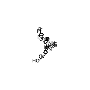 CC(=O)O.COc1cc(-c2nn(-c3ccc(CN4CCCC(CO)C4)cc3)c3ncnc(N)c23)ccc1NC(=O)c1ccc(C(F)(F)F)cc1F